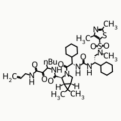 C=CCNC(=O)C(=O)C(CCCC)NC(=O)[C@@H]1[C@@H]2[C@H](CN1C(=O)[C@@H](NC(=O)N[C@H](CN(C)S(=O)(=O)c1sc(C)nc1C)C1CCCCC1)C1CCCCC1)C2(C)C